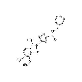 CC(C)(C)Sc1c(C(F)(F)F)ccc(C(O)Nc2nnc(C(=O)OCc3ccccc3)o2)c1F